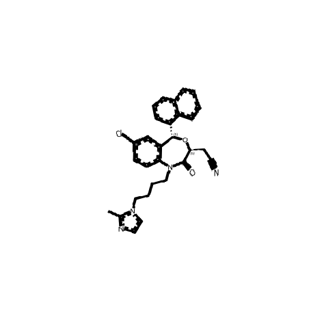 Cc1nccn1CCCCN1C(=O)[C@H](CC#N)O[C@@H](c2cccc3ccccc23)c2cc(Cl)ccc21